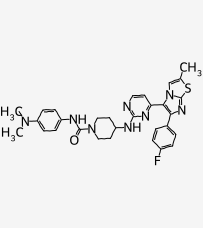 Cc1cn2c(-c3ccnc(NC4CCN(C(=O)Nc5ccc(N(C)C)cc5)CC4)n3)c(-c3ccc(F)cc3)nc2s1